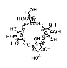 OCC1OC2OCC3OC(OC4C(O)C(CO)OC(OCC5OC(OC(C1O)C2O)C(O)C(O)C5O)C4O)C(O)C(O)C3O